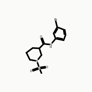 CS(=O)(=O)N1CCCC(C(=O)Nc2cccc(Br)c2)C1